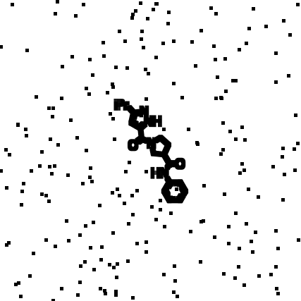 CC(C)c1cc(C(=O)N2CCC(C(=O)Nc3ccccc3)C2)[nH]n1